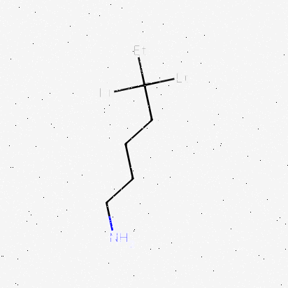 CCC(CC)(CC)CCCCN